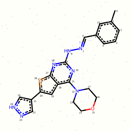 Cc1cccc(/C=N/Nc2nc(N3CCOCC3)c3cc(-c4cn[nH]c4)sc3n2)c1